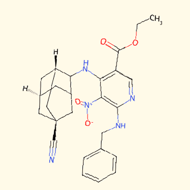 CCOC(=O)c1cnc(NCc2ccccc2)c([N+](=O)[O-])c1NC1C2C[C@@H]3C[C@H]1C[C@](C#N)(C2)C3